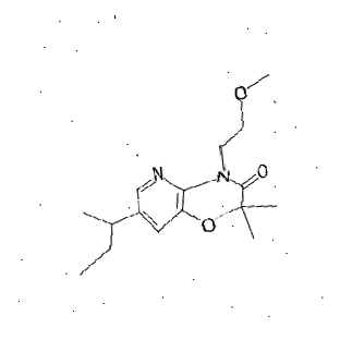 CCC(C)c1cnc2c(c1)OC(C)(C)C(=O)N2CCOC